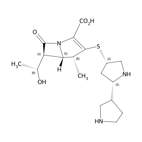 C[C@@H](O)[C@H]1C(=O)N2C(C(=O)O)=C(S[C@@H]3CN[C@H](C4CCNC4)C3)[C@H](C)[C@H]12